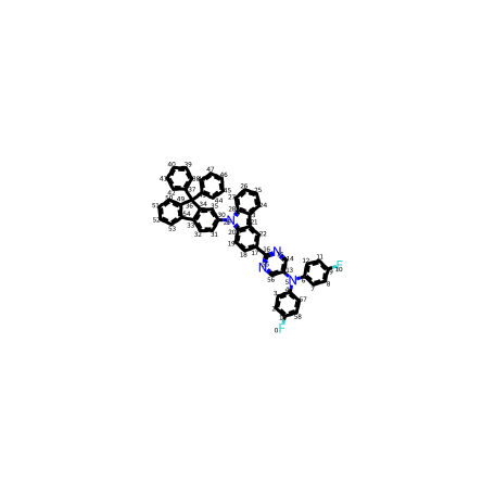 Fc1ccc(N(c2ccc(F)cc2)c2cnc(-c3ccc4c(c3)c3ccccc3n4-c3ccc4c(c3)C(c3ccccc3)(c3ccccc3)c3ccccc3-4)nc2)cc1